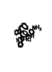 Cl.NC1CCC(NC(=O)CC(c2cnc3ccccc3c2)c2cn(CC3CCCCC3)c3ccccc23)CC1